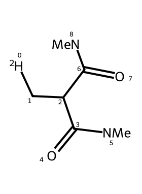 [2H]CC(C(=O)NC)C(=O)NC